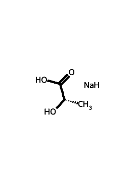 C[C@H](O)C(=O)O.[NaH]